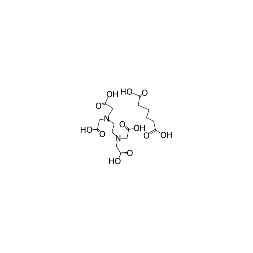 O=C(O)CCCCC(=O)O.O=C(O)CN(CCN(CC(=O)O)CC(=O)O)CC(=O)O